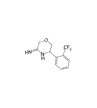 N=C1COCC(c2ccccc2C(F)(F)F)N1